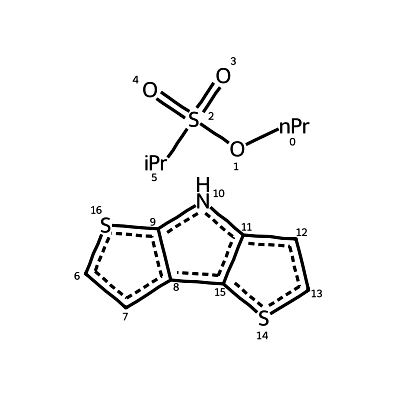 CCCOS(=O)(=O)C(C)C.c1cc2c([nH]c3ccsc32)s1